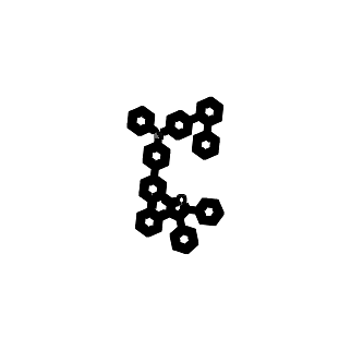 c1ccc(-c2ccccc2-c2ccc(N(c3ccccc3)c3ccc(-c4ccc5c6ccccc6c6c(-c7ccccc7)c(-c7ccccc7)oc6c5c4)cc3)cc2)cc1